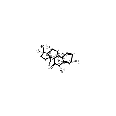 CC(=O)[C@@]1(O)CC[C@H]2[C@@H]3C(=O)[C@H](O)C4=C[C@H](O)C=C[C@]4(C)[C@H]3CC[C@@]21C